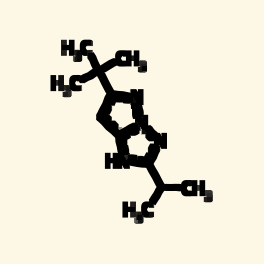 CC(C)c1nn2nc(C(C)(C)C)cc2[nH]1